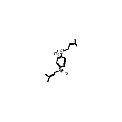 CC(C)=CC[SiH2]c1ccc([SiH2]CC=C(C)C)cc1